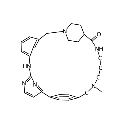 CN1CCCNC(=O)C2CCN(CC2)Cc2cccc(c2)Nc2nccc(n2)-c2ccc(cc2)C1